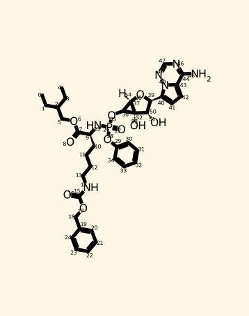 CCC(CC)COC(=O)[C@H](CCCCNC(=O)OCc1ccccc1)NP(=O)(Oc1ccccc1)OC1[C@H]2O[C@@H](c3ccc4c(N)ncnn34)[C@H](O)[C@@]12O